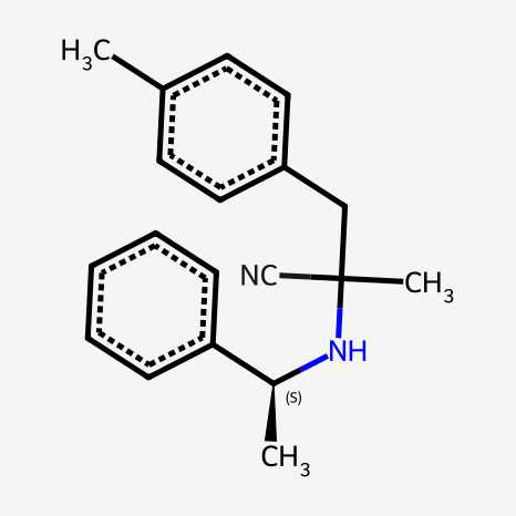 Cc1ccc(CC(C)(C#N)N[C@@H](C)c2ccccc2)cc1